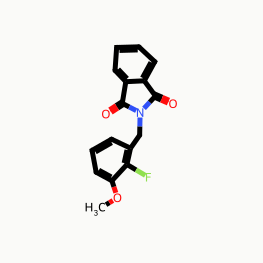 COc1cccc(CN2C(=O)c3ccccc3C2=O)c1F